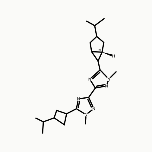 CC(C)C1CC(c2nc(-c3nc(C4C5CC(C(C)C)C[C@@H]54)n(C)n3)nn2C)C1